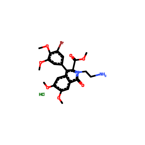 COC(=O)c1c(-c2cc(Br)c(OC)c(OC)c2)c2cc(OC)c(OC)cc2c(=O)n1CCN.Cl